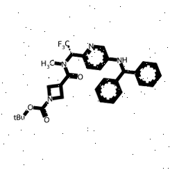 CN(C(=O)C1CN(C(=O)OC(C)(C)C)C1)[C@@H](c1ccc(NC(c2ccccc2)c2ccccc2)cn1)C(F)(F)F